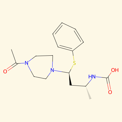 CC(=O)N1CCN([C@H](C[C@@H](C)NC(=O)O)Sc2ccccc2)CC1